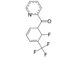 O=C(c1ccccn1)C1C=CC=C(C(F)(F)F)C1F